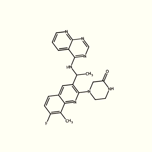 Cc1c(F)ccc2cc(C(C)Nc3ncnc4ncccc34)c(N3CCNC(=O)C3)nc12